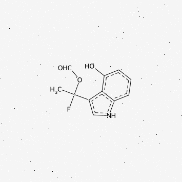 CC(F)(OC=O)c1c[nH]c2cccc(O)c12